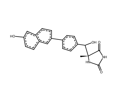 C[C@]1(C(O)c2ccc(-c3ccc4cc(O)ccc4c3)cc2)NC(=O)NC1=O